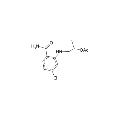 CC(=O)OC(C)CNc1cc(Cl)ncc1C(N)=O